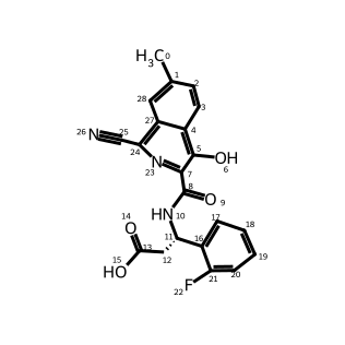 Cc1ccc2c(O)c(C(=O)N[C@@H](CC(=O)O)c3ccccc3F)nc(C#N)c2c1